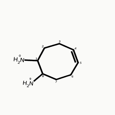 NC1CCC=CCCC1N